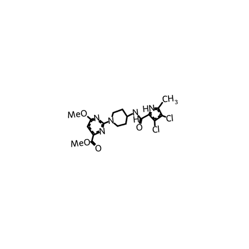 COC(=O)c1cc(OC)nc(N2CCC(NC(=O)c3[nH]c(C)c(Cl)c3Cl)CC2)n1